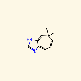 CC1(C)C=CC=c2nc[nH]c2=C1